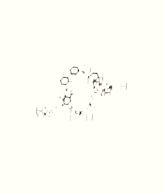 CNC(CCC=O)COc1nc(OCc2cccc(-c3cccc(COc4nc(OCC5CCC(=O)N5)c(CNCC(=O)O)cc4Br)c3C)c2C)c(Br)cc1CNCC(=O)O